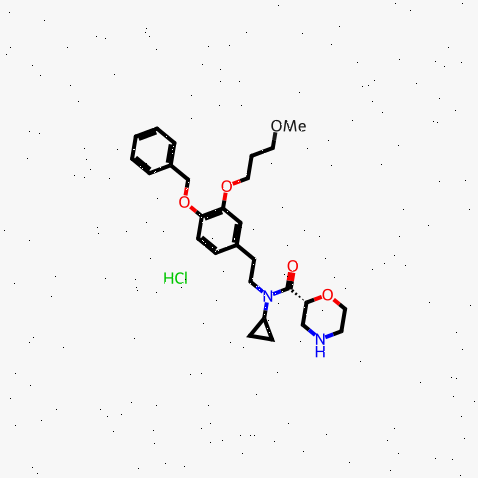 COCCCOc1cc(CCN(C(=O)[C@H]2CNCCO2)C2CC2)ccc1OCc1ccccc1.Cl